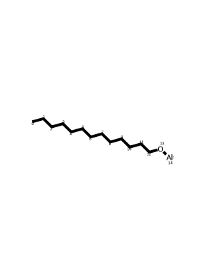 CCCCCCCCCCCCC[O][Al]